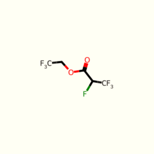 O=C(OCC(F)(F)F)C(F)C(F)(F)F